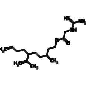 C=CCCC(CCC(C)CCOC(=O)CNC(=N)N)C(=C)C